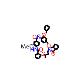 COc1cc(C(=O)N(C)c2ccc(C)cc2OCc2ccccc2)ccc1NC(=O)c1ccccc1OC(C)CCN1C(=O)c2ccccc2C1=O